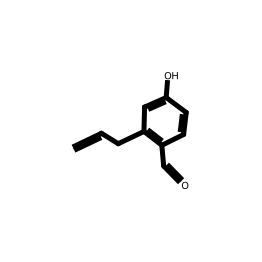 C=CCc1cc(O)ccc1C=O